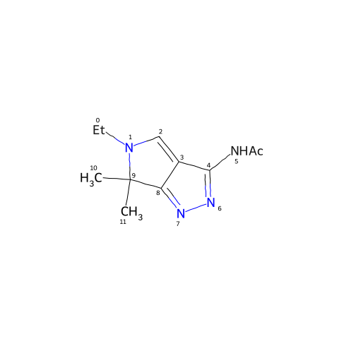 CCN1C=C2C(NC(C)=O)=NN=C2C1(C)C